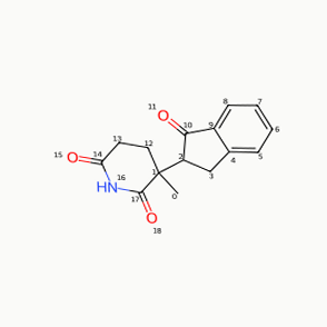 CC1(C2Cc3ccccc3C2=O)CCC(=O)NC1=O